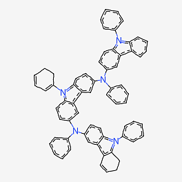 C1=CCCC(n2c3ccc(N(c4ccccc4)c4ccc5c(c4)c4c(n5-c5ccccc5)CCC=C4)cc3c3cc(N(c4ccccc4)c4ccc5c(c4)c4ccccc4n5-c4ccccc4)ccc32)=C1